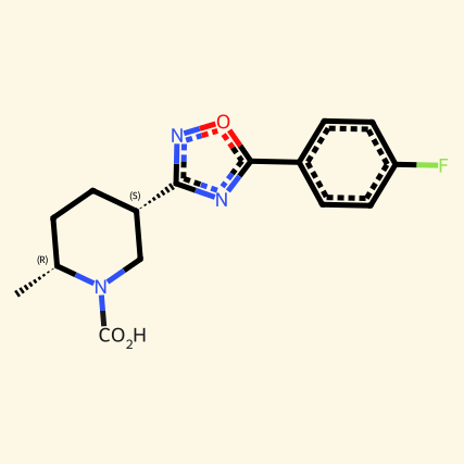 C[C@@H]1CC[C@H](c2noc(-c3ccc(F)cc3)n2)CN1C(=O)O